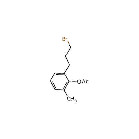 CC(=O)Oc1c(C)cccc1CCCBr